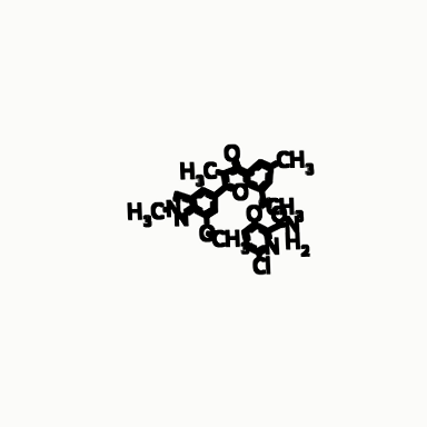 COc1cc(-c2oc3c([C@@H](C)Oc4ccc(Cl)nc4C(N)=O)cc(C)cc3c(=O)c2C)cc2cn(C)nc12